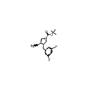 CC(C)(C)OC(=O)N1CC(C#N)C(Cc2cc(F)cc(F)c2)C1